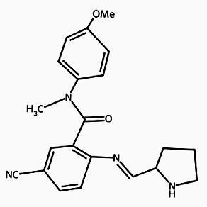 COc1ccc(N(C)C(=O)c2cc(C#N)ccc2/N=C/C2CCCN2)cc1